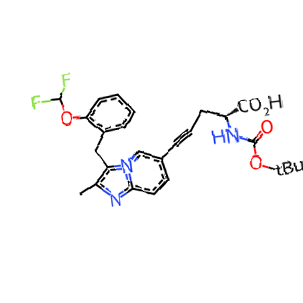 Cc1nc2ccc(C#CC[C@H](NC(=O)OC(C)(C)C)C(=O)O)cn2c1Cc1ccccc1OC(F)F